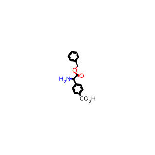 NC(C(=O)OCc1ccccc1)c1ccc(C(=O)O)cc1